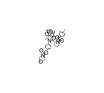 Cc1ccc(S(=O)(=O)N2CCC[C@H]2C(=O)N(c2ccc(OC(=O)N3CCOCC3)cc2)[C@@H](C)C(=O)OC(C)(C)C)cc1